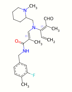 C=C/C(=C(\C)C=O)N(/C=C(\C)C(=O)NCc1ccc(C)c(F)c1)CC1CCCCN1C